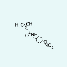 CN(C)CCC(=O)NCC1CCC(O[N+](=O)[O-])CC1